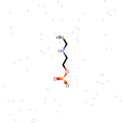 CCCCCNCCOP(=O)=O